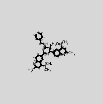 Cc1cc(N(C)C)c2cc(C3=NC(c4ccc5nc(C)cc(N(C)C)c5c4)N(N)C(NCc4ccncc4)=N3)ccc2n1